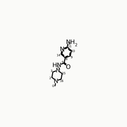 CN1CCN(NC(=O)c2ccc(N)nc2)CC1